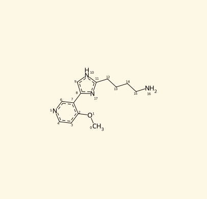 COc1ccncc1-c1c[nH]c(CCCCN)n1